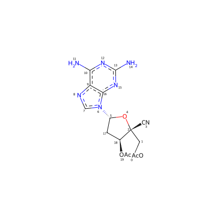 CC(=O)OC[C@@]1(C#N)O[C@@H](n2cnc3c(N)nc(N)nc32)C[C@@H]1OC(C)=O